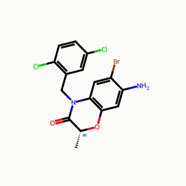 C[C@H]1Oc2cc(N)c(Br)cc2N(Cc2cc(Cl)ccc2Cl)C1=O